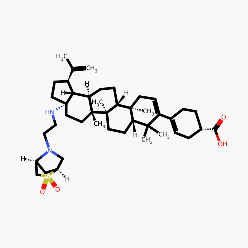 C=C(C)[C@@H]1CC[C@]2(NCCN3C[C@@H]4C[C@H]3CS4(=O)=O)CC[C@]3(C)[C@H](CC[C@@H]4[C@@]5(C)CC=C(C6=CC[C@@H](C(=O)O)CC6)C(C)(C)[C@@H]5CC[C@]43C)[C@@H]12